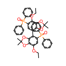 CCOc1cc(P(=O)(c2ccccc2)c2ccccc2)c(-c2cc(P(=O)(c3ccccc3)c3ccccc3)c(OCC)c3c2OC(C)(C)O3)c2c1OC(C)(C)O2